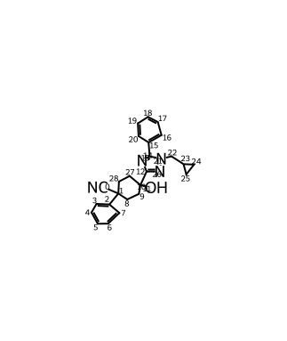 N#CC1(c2ccccc2)CCC(O)(c2nc(-c3ccccc3)n(CC3CC3)n2)CC1